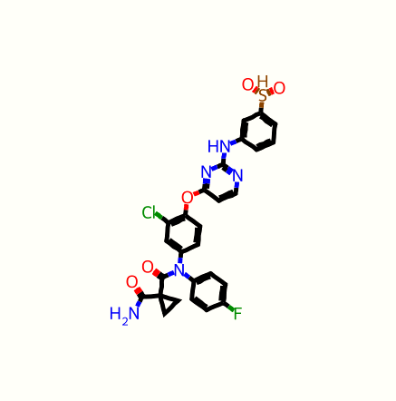 NC(=O)C1(C(=O)N(c2ccc(F)cc2)c2ccc(Oc3ccnc(Nc4cccc([SH](=O)=O)c4)n3)c(Cl)c2)CC1